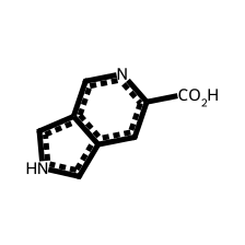 O=C(O)c1cc2c[nH]cc2cn1